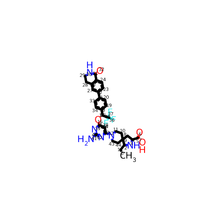 CCC1NC(C(=O)O)CC12CCN(c1cc(O[C@H](c3ccc(-c4ccc5c(c4)CCNC5=O)cc3)C(F)(F)F)nc(N)n1)CC2